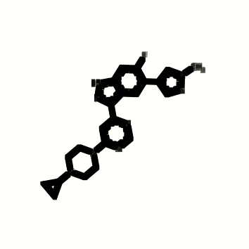 Cn1cc(-c2cc3c(-c4cc(N5CCN(C6CC6)CC5)ncn4)n[nH]c3cc2F)cn1